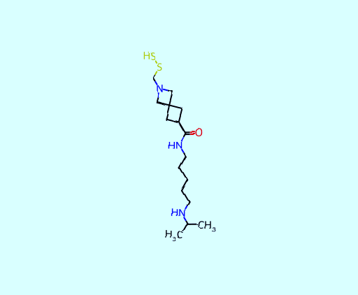 CC(C)NCCCCCNC(=O)C1CC2(C1)CN(CSS)C2